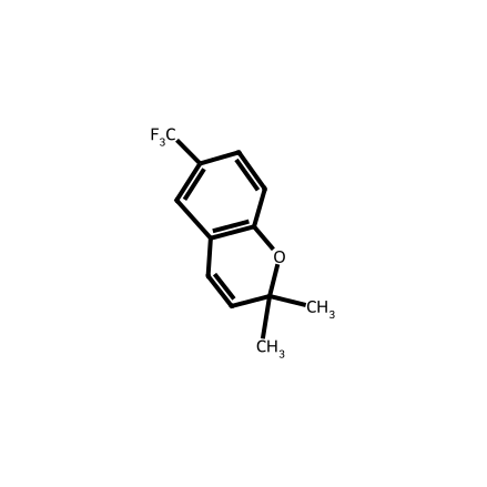 CC1(C)C=Cc2cc(C(F)(F)F)ccc2O1